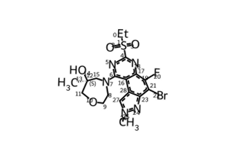 CCS(=O)(=O)c1nc(N2CCOC[C@@](C)(O)C2)c2c(n1)c(F)c(Br)c1nn(C)cc12